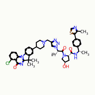 Cc1ncsc1-c1ccc([C@H](C)NC(=O)[C@@H]2C[C@@H](O)CN2C(=O)[C@H](C(C)C)n2cc(CN3CCC(c4ccc5c(c4)C(C)(C)c4nc(=O)c6c(Cl)cccc6n4-5)CC3)nn2)cc1